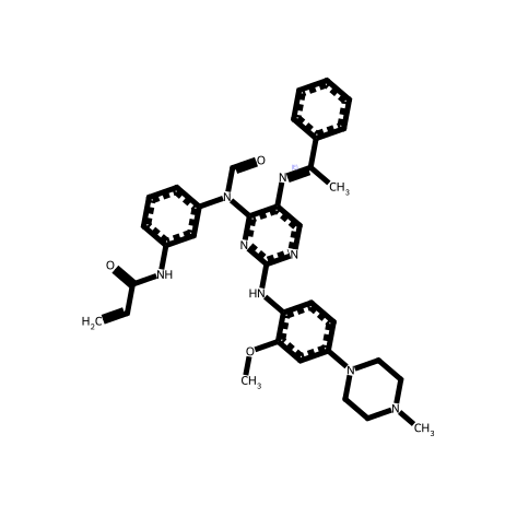 C=CC(=O)Nc1cccc(N(C=O)c2nc(Nc3ccc(N4CCN(C)CC4)cc3OC)ncc2/N=C(\C)c2ccccc2)c1